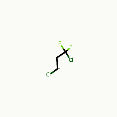 FC(F)(Cl)C[CH]Cl